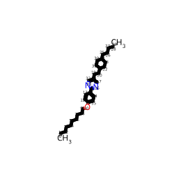 CCCCCCCCCCOc1ccc(-c2ncc(CCC3CCC(CCCCC)CC3)cn2)cc1